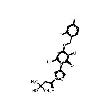 Cc1nc(OCc2ccc(F)cc2F)c(Cl)c(=O)n1-c1cnn(C(=O)CC(C)(C)O)c1